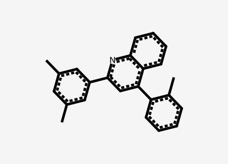 Cc1cc(C)cc(-c2cc(-c3ccccc3C)c3ccccc3n2)c1